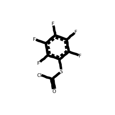 O=C(Cl)Sc1c(F)c(F)c(F)c(F)c1F